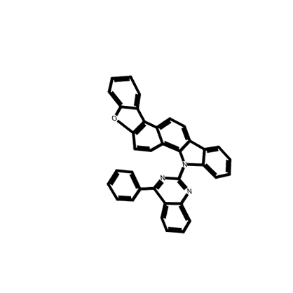 c1ccc(-c2nc(-n3c4ccccc4c4ccc5c(ccc6oc7ccccc7c65)c43)nc3ccccc23)cc1